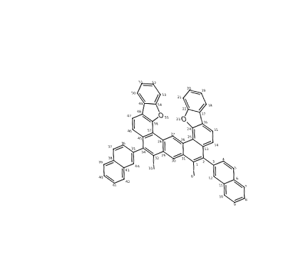 Ic1c(-c2ccc3ccccc3c2)c2ccc3c4ccccc4oc3c2c2cc3c(cc12)c(I)c(-c1ccc2ccccc2c1)c1ccc2c4ccccc4oc2c13